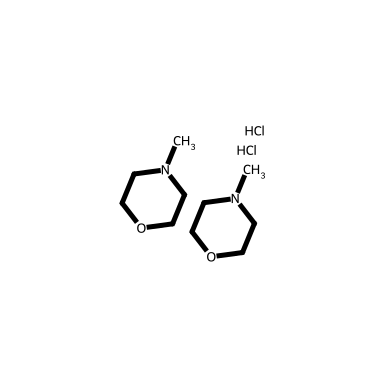 CN1CCOCC1.CN1CCOCC1.Cl.Cl